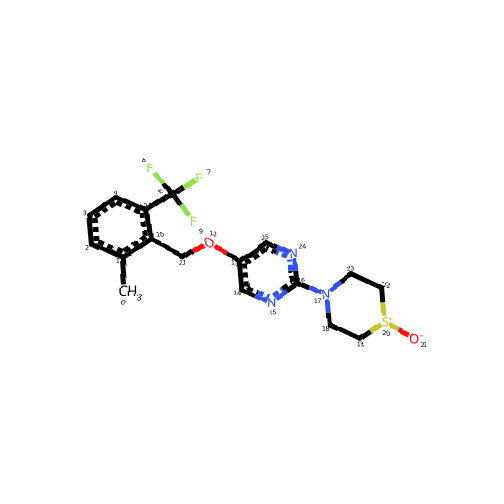 Cc1cccc(C(F)(F)F)c1COc1cnc(N2CC[S+]([O-])CC2)nc1